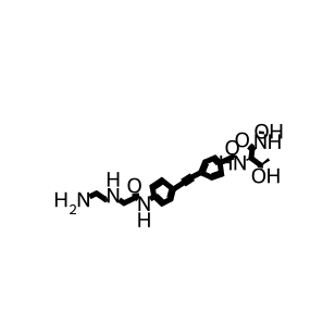 C[C@@H](O)[C@H](NC(=O)c1ccc(C#Cc2ccc(NC(=O)CNCCN)cc2)cc1)C(=O)NO